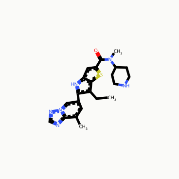 CCc1c(-c2cc(C)c3ncnn3c2)[nH]c2cc(C(=O)N(C)C3CCNCC3)sc12